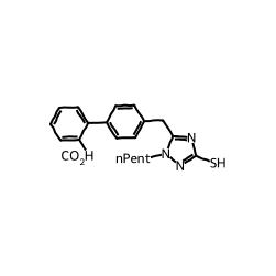 CCCCCn1nc(S)nc1Cc1ccc(-c2ccccc2C(=O)O)cc1